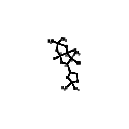 CC1(C)OCC([C@H]2O[C@@H]3OC(C)(C)O[C@@H]3[C@@]2(C)O)O1